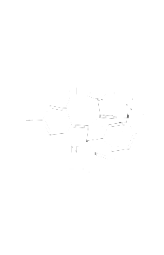 C=C(C(=O)O)C1=c2c(Cl)cc(Cl)cc2=NC1(C(=O)O)c1cccc(N)c1